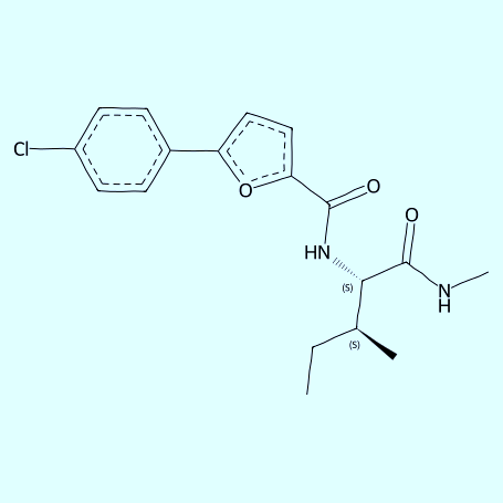 CC[C@H](C)[C@H](NC(=O)c1ccc(-c2ccc(Cl)cc2)o1)C(=O)NC